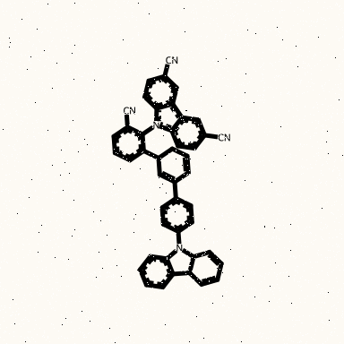 N#Cc1ccc2c(c1)c1cc(C#N)ccc1n2-c1c(C#N)cccc1C1C=C(c2ccc(N3c4ccccc4C4C=CC=CC43)cc2)C=CC1